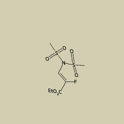 CCOC(=O)/C(F)=C/N(S(C)(=O)=O)S(C)(=O)=O